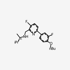 CCCCOc1ccc(-c2ccc(F)c(CN[C@H](C)C(C)C)n2)cc1F